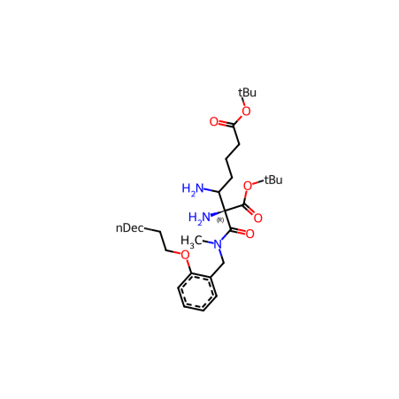 CCCCCCCCCCCCOc1ccccc1CN(C)C(=O)[C@@](N)(C(=O)OC(C)(C)C)C(N)CCCC(=O)OC(C)(C)C